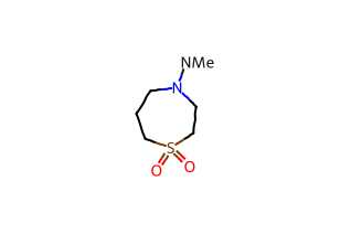 CNN1CCCS(=O)(=O)CC1